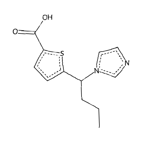 CCCC(c1ccc(C(=O)O)s1)n1ccnc1